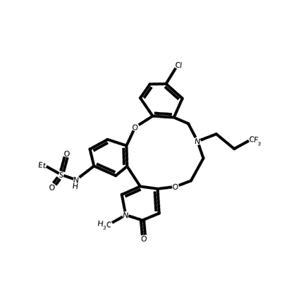 CCS(=O)(=O)Nc1ccc2c(c1)-c1cn(C)c(=O)cc1OCCN(CCC(F)(F)F)Cc1cc(Cl)ccc1O2